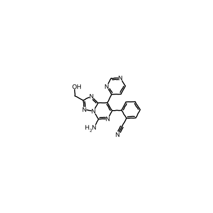 N#Cc1ccccc1-c1nc(N)n2nc(CO)nc2c1-c1ccncn1